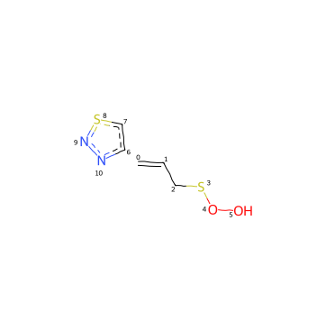 C=CCSOO.c1csnn1